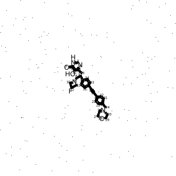 O=c1[nH]cnc(C[C@@H](CN2CC(F)C2)c2ccc(C#Cc3ccc(CN4CCOCC4)cc3)cc2)c1O